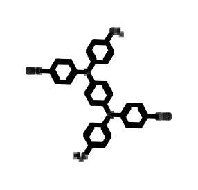 Cc1ccc(N(c2ccc(C=O)cc2)c2ccc(N(c3ccc(C)cc3)c3ccc(C=O)cc3)cc2)cc1